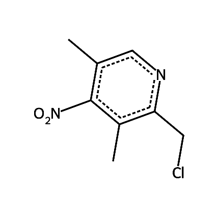 Cc1cnc(CCl)c(C)c1[N+](=O)[O-]